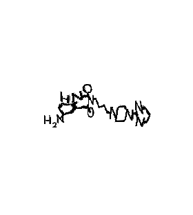 Nc1ccc2[nH]c(=O)n(CCCCN3CCN(c4ncccn4)CC3)c(=O)c2c1